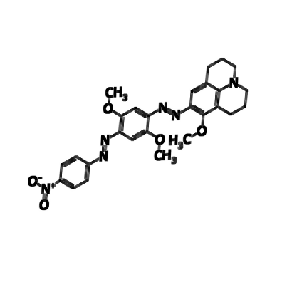 COc1cc(N=Nc2cc3c4c(c2OC)CCCN4CCC3)c(OC)cc1N=Nc1ccc([N+](=O)[O-])cc1